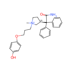 C[N+]1(CCCOc2ccc(O)cc2)CC[C@@H](C(C(N)=O)(c2ccccc2)c2ccccc2)C1